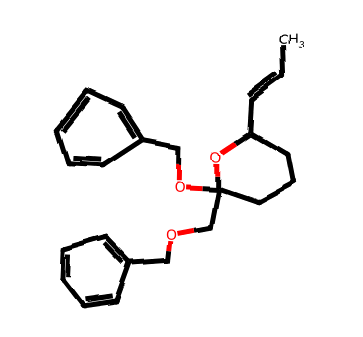 CC=CC1CCCC(COCc2ccccc2)(OCc2ccccc2)O1